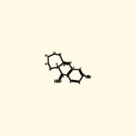 N=c1c2ccc(Br)cc2nc2n1CCCCC2